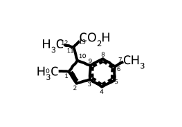 CC1=Cc2ccc(C)cc2C1C(C)C(=O)O